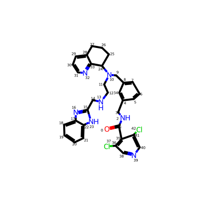 O=C(NCc1cccc(CN(CCNCc2nc3ccccc3[nH]2)C2CCCc3cccnc32)c1)c1c(Cl)cncc1Cl